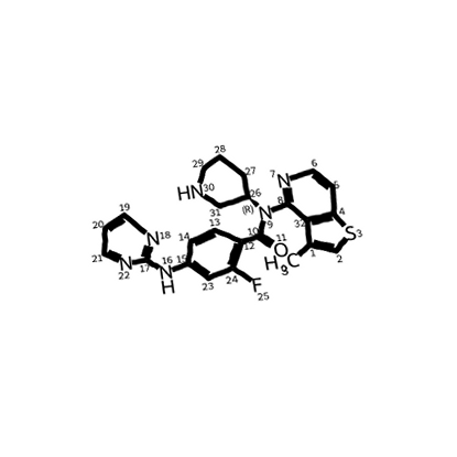 Cc1csc2ccnc(N(C(=O)c3ccc(Nc4ncccn4)cc3F)[C@@H]3CCCNC3)c12